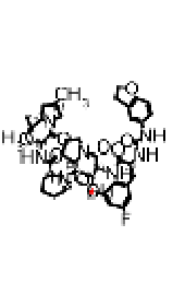 C[C@H]1CN(C(=O)[C@H](C)NC(=O)[C@@H]2CCCCN2C(=O)[C@@H]2CCCN2C(=O)[C@@H](NC(=O)[C@H](Cc2cc(F)cc(F)c2)NC(=O)Nc2ccc3c(c2)CCO3)[C@H](C)O)[C@]2(CC2=O)C1